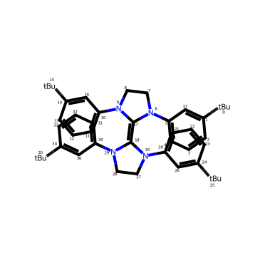 CC(C)(C)c1cccc(N2CCN(c3cccc(C(C)(C)C)c3)C2=C2N(c3cccc(C(C)(C)C)c3)CCN2c2cccc(C(C)(C)C)c2)c1